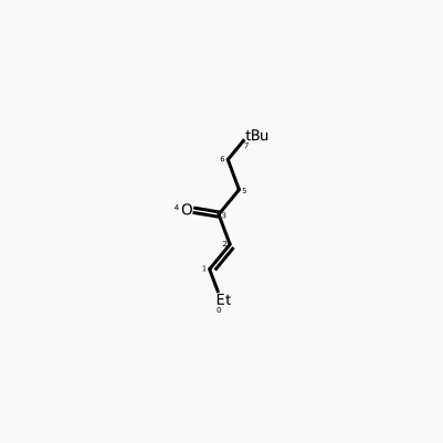 CC/C=C/C(=O)CCC(C)(C)C